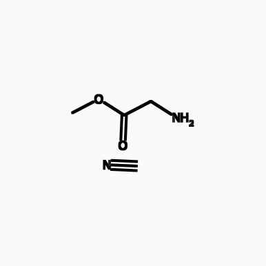 C#N.COC(=O)CN